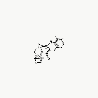 CNC(=O)Nc1ccc2c(c1)CC[C@@]21OC2OC1N2CC(=O)N(Cc1cccc(F)c1F)[C@@H](C)C1CC1